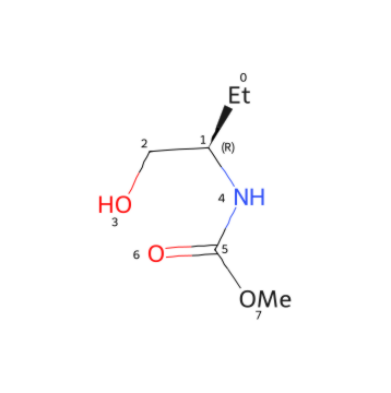 CC[C@H](CO)NC(=O)OC